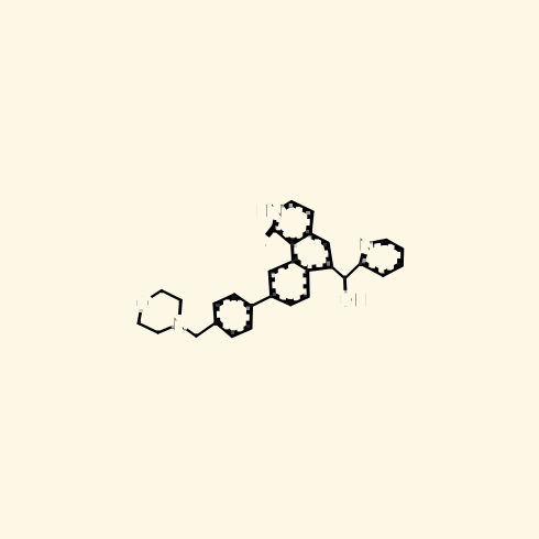 O=c1[nH]ccc2cc(C(O)c3ccccn3)c3ccc(-c4ccc(CN5CCOCC5)cc4)cc3c12